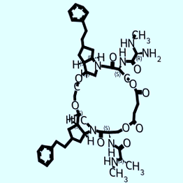 CN[C@@H](C)C(=O)N[C@H]1COC(=O)CCC(=O)OC[C@H](NC(=O)[C@H](N)NC)C(=O)N2C[C@@H](OCCO[C@@H]3CN(C1=O)[C@@H]1CC(CCc4ccccc4)C[C@@H]13)[C@H]1CC(CCc3ccccc3)C[C@H]12